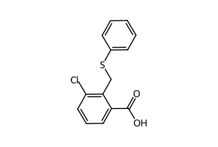 O=C(O)c1cccc(Cl)c1CSc1ccccc1